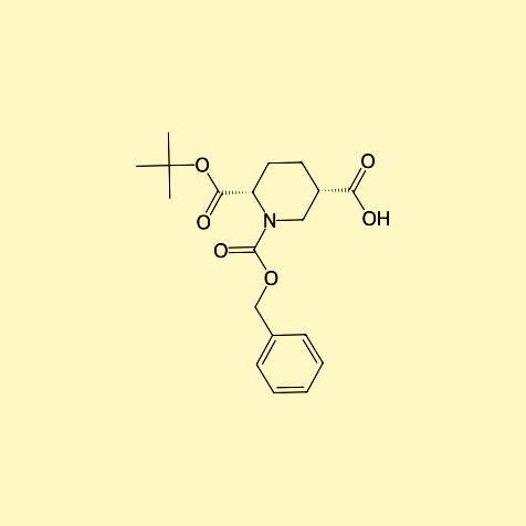 CC(C)(C)OC(=O)[C@@H]1CC[C@H](C(=O)O)CN1C(=O)OCc1ccccc1